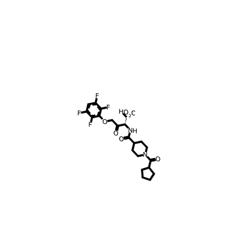 O=C(O)C[C@H](NC(=O)C1CCN(C(=O)C2CCCC2)CC1)C(=O)COc1c(F)c(F)cc(F)c1F